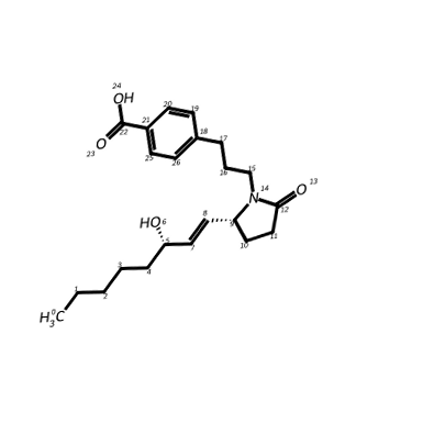 CCCCC[C@H](O)C=C[C@H]1CCC(=O)N1CCCc1ccc(C(=O)O)cc1